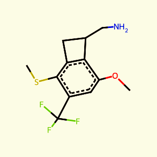 COc1cc(C(F)(F)F)c(SC)c2c1C(CN)C2